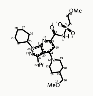 COCCS(=O)(=O)NC(=O)c1cc(N2CCC(COC)CC2)c2c(C(C)C)nn(C3CCCCC3)c2n1